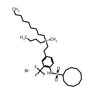 CCCCCCCCC[N+](C)(CCCC)CCc1ccc(NS(=O)(=O)C2CCCCCCCCC2)c(C(F)(F)F)c1.[Br-]